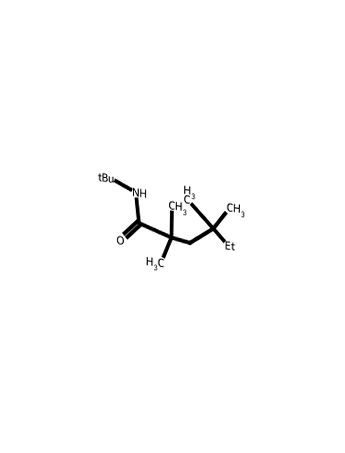 CCC(C)(C)CC(C)(C)C(=O)NC(C)(C)C